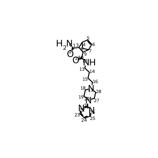 NC(=O)C1C2C=CC(C2)C1C(=O)NCCCCN1CCN(c2ncccn2)CC1